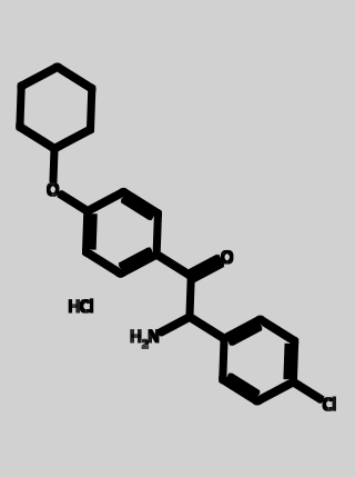 Cl.NC(C(=O)c1ccc(OC2CCCCC2)cc1)c1ccc(Cl)cc1